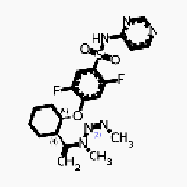 C=C([C@H]1CCCC[C@@H]1Oc1cc(F)c(S(=O)(=O)Nc2ccncn2)cc1F)N(C)/N=N\C